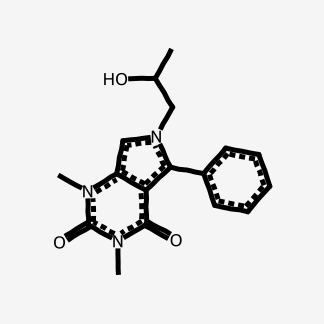 CC(O)Cn1cc2c(c1-c1ccccc1)c(=O)n(C)c(=O)n2C